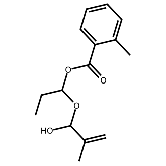 C=C(C)C(O)OC(CC)OC(=O)c1ccccc1C